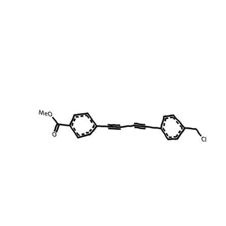 COC(=O)c1ccc(C#CC#Cc2ccc(CCl)cc2)cc1